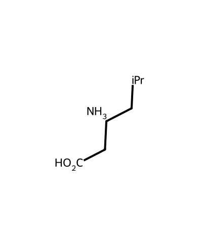 CC(C)CCCC(=O)O.N